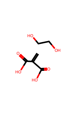 C=C(C(=O)O)C(=O)O.OCCO